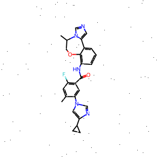 Cc1cc(F)c(C(=O)Nc2cccc3c2OCC(C)n2cncc2-3)cc1-n1cnc(C2CC2)c1